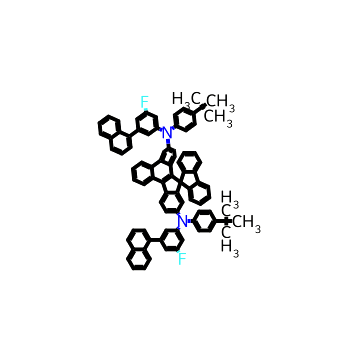 CC(C)(C)c1ccc(N(c2cc(F)cc(-c3cccc4ccccc34)c2)c2ccc3c(c2)C2(c4ccccc4-c4ccccc42)c2c-3c3ccccc3c3cc(N(c4ccc(C(C)(C)C)cc4)c4cc(F)cc(-c5cccc6ccccc56)c4)ccc23)cc1